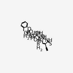 BC(B)(OP1(=O)OCc2ccccc2O1)[C@@]1(F)O[C@@](B)(n2cc(C#C)c(=S)[nH]c2=O)[C@H](O)[C@@H]1O